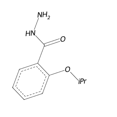 CC(C)Oc1ccccc1C(=O)NN